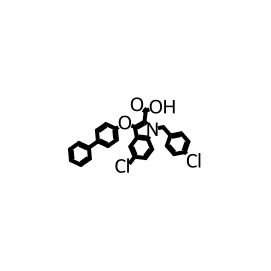 O=C(O)c1c(Oc2ccc(-c3ccccc3)cc2)c2cc(Cl)ccc2n1Cc1ccc(Cl)cc1